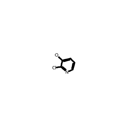 [O]c1cccnc1Cl